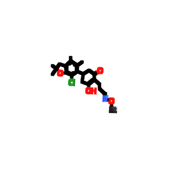 CCON=CCCC1=C(O)CC(c2c(C)c(C)c3c(c2Cl)OC(C)(C)C3)CC1=O